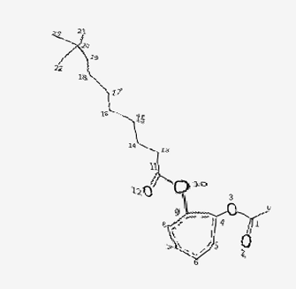 CC(=O)Oc1ccccc1OC(=O)CCCCCCCC(C)(C)C